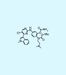 CN(C)CCN(C(=O)OC(C)(C)C)c1ccc(Nc2ncc(Cl)c(-c3cn(C)c4ccccc34)n2)cc1OC(N)=O